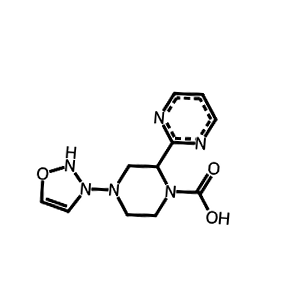 O=C(O)N1CCN(N2C=CON2)CC1c1ncccn1